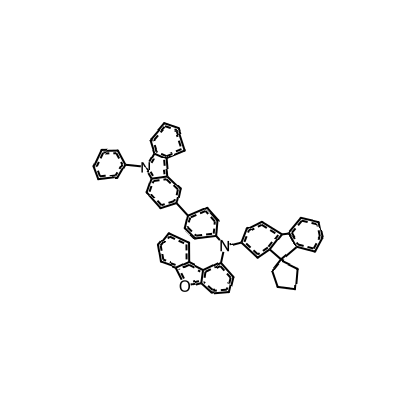 c1ccc(-n2c3ccccc3c3cc(-c4ccc(N(c5ccc6c(c5)C5(CCCC5)c5ccccc5-6)c5cccc6oc7ccccc7c56)cc4)ccc32)cc1